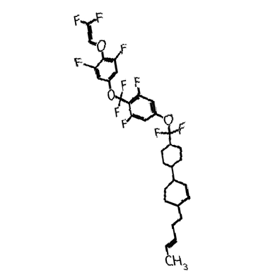 C/C=C/CCC1CCC(C2CCC(C(F)(F)Oc3cc(F)c(C(F)(F)Oc4cc(F)c(OC=C(F)F)c(F)c4)c(F)c3)CC2)CC1